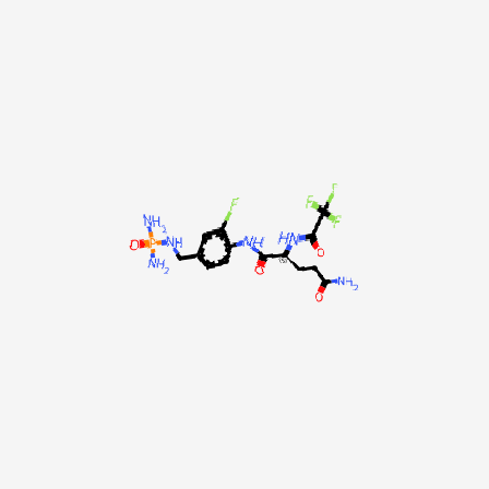 NC(=O)CC[C@H](NC(=O)C(F)(F)F)C(=O)Nc1ccc(CNP(N)(N)=O)cc1F